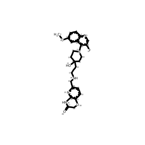 COc1ccc2ncc(F)c(N3CCC(O)(CCNCc4ccc5c(n4)NC(=O)CO5)CC3)c2c1